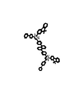 CC1(C)c2ccccc2-c2ccc(-c3nc(-c4ccc(-c5ccccc5)cc4)cc(-c4ccc(-c5cccc6c(-c7ccc(-c8cc(-c9ccc(-c%10ccccc%10)cc9)nc(-c9ccc%10c(c9)C(C)(C)c9ccccc9-%10)n8)cc7)cccc56)cc4)n3)cc21